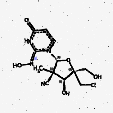 C[C@@]1(C#N)[C@H](O)[C@](CO)(CCl)O[C@H]1n1ccc(=O)[nH]/c1=N\O